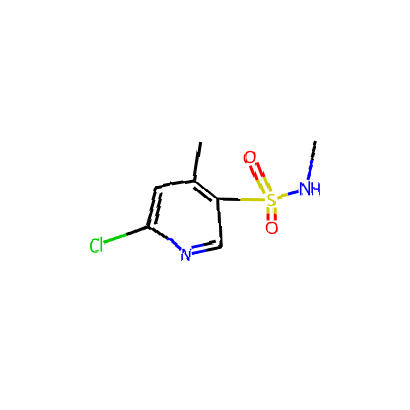 CNS(=O)(=O)c1cnc(Cl)cc1C